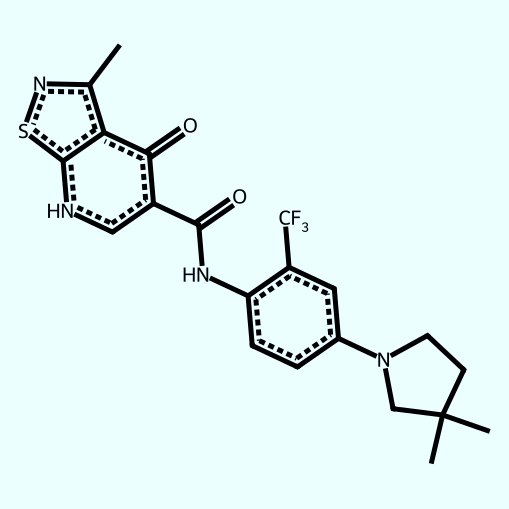 Cc1nsc2[nH]cc(C(=O)Nc3ccc(N4CCC(C)(C)C4)cc3C(F)(F)F)c(=O)c12